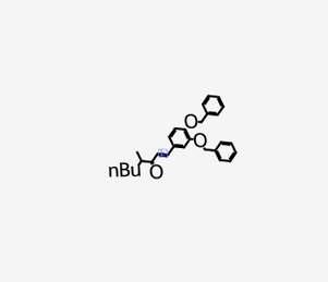 CCCCC(C)C(=O)/C=C/c1ccc(OCc2ccccc2)c(OCc2ccccc2)c1